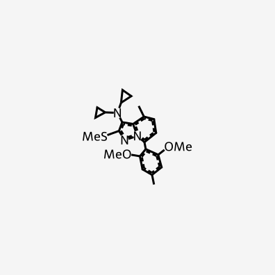 COc1cc(C)cc(OC)c1-c1ccc(C)c2c(N(C3CC3)C3CC3)c(SC)nn12